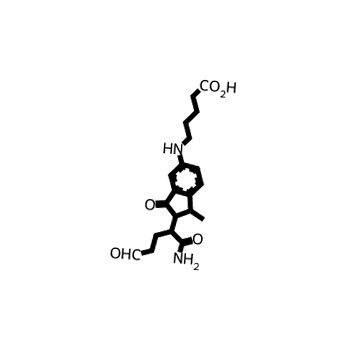 CC1c2ccc(NCCCCC(=O)O)cc2C(=O)C1C(CCC=O)C(N)=O